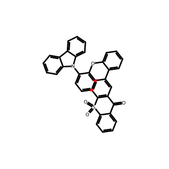 O=C1c2ccccc2S(=O)(=O)c2ccc(-c3ccccc3Oc3ccccc3-n3c4ccccc4c4ccccc43)cc21